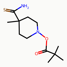 CC(C)(C)C(=O)ON1CCC(C)(C(N)=S)CC1